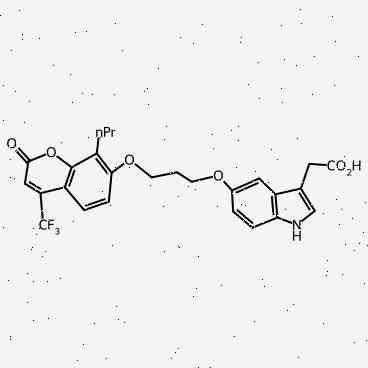 CCCc1c(OCCCOc2ccc3[nH]cc(CC(=O)O)c3c2)ccc2c(C(F)(F)F)cc(=O)oc12